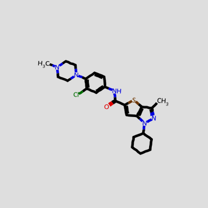 Cc1nn(C2CCCCC2)c2cc(C(=O)Nc3ccc(N4CCN(C)CC4)c(Cl)c3)sc12